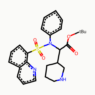 CC(C)(C)OC(=O)C(C1CCCNC1)N(c1ccccc1)S(=O)(=O)c1cccc2cccnc12